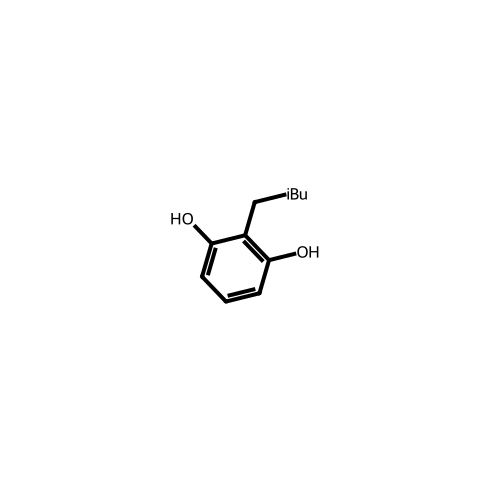 CCC(C)Cc1c(O)cccc1O